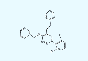 Fc1cccc(Cl)c1-c1cc(OCc2ccccc2)c(OCc2ccccc2)nn1